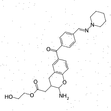 NC1Oc2ccc(C(=O)c3ccc(C=NN4CCCCC4)cc3)cc2CC1CC(=O)OCCO